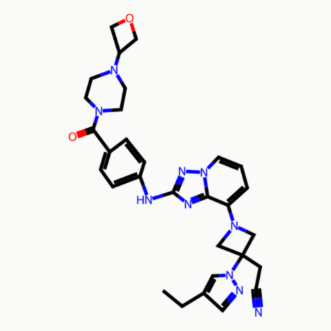 CCc1cnn(C2(CC#N)CN(c3cccn4nc(Nc5ccc(C(=O)N6CCN(C7COC7)CC6)cc5)nc34)C2)c1